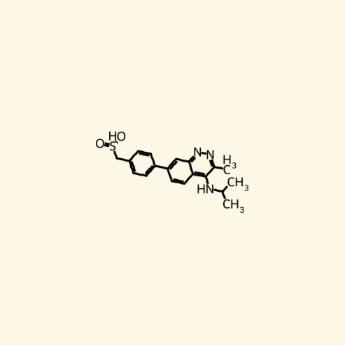 Cc1nnc2cc(-c3ccc(C[SH](=O)=O)cc3)ccc2c1NC(C)C